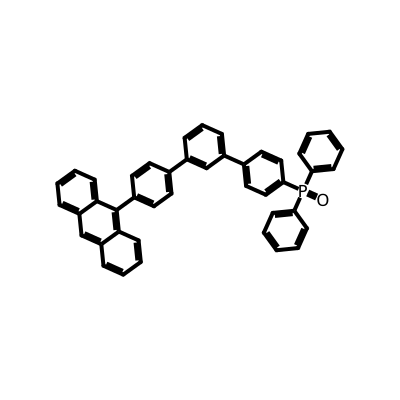 O=P(c1ccccc1)(c1ccccc1)c1ccc(-c2cccc(-c3ccc(-c4c5ccccc5cc5ccccc45)cc3)c2)cc1